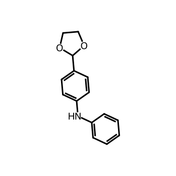 c1ccc(Nc2ccc(C3OCCO3)cc2)cc1